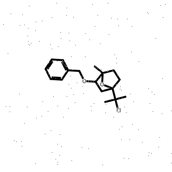 CC12CCC(C(C)(C)Cl)(CC1OCc1ccccc1)O2